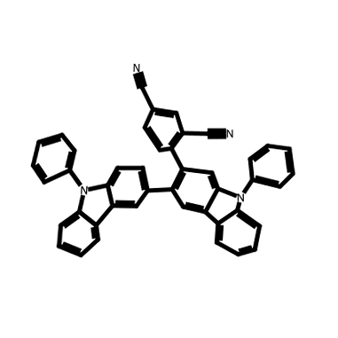 N#Cc1ccc(-c2cc3c(cc2-c2ccc4c(c2)c2ccccc2n4-c2ccccc2)c2ccccc2n3-c2ccccc2)c(C#N)c1